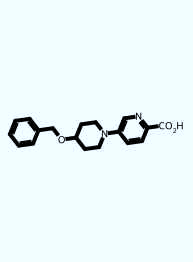 O=C(O)c1ccc(N2CCC(OCc3ccccc3)CC2)cn1